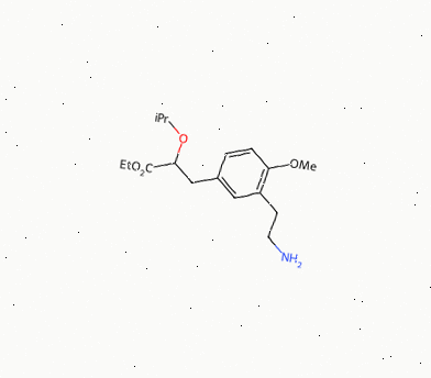 CCOC(=O)C(Cc1ccc(OC)c(CCN)c1)OC(C)C